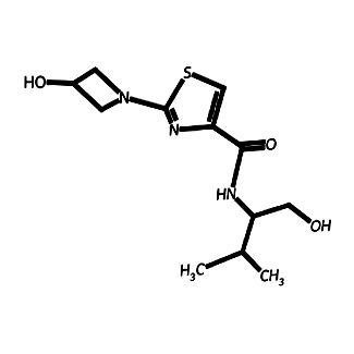 CC(C)C(CO)NC(=O)c1csc(N2CC(O)C2)n1